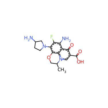 CC1COc2c(N3CCC(N)C3)c(F)c(N)c3c(=O)c(C(=O)O)cn1c23